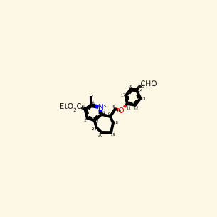 CCOC(=O)c1cc2c(nc1C)C(COc1ccc(C=O)cc1)CCCC2